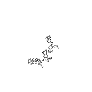 Cc1cc(Nc2ncnc3cc(OCCN(C)C(=O)OC(C)(C)C)c([N+](=O)[O-])cc23)ccc1Oc1ccn2ncnc2c1